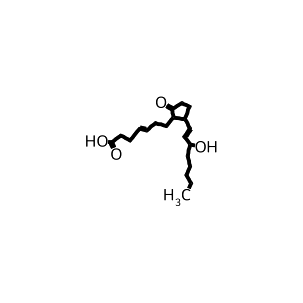 CCCCCC(O)C=CC1CCC(=O)C1CCC=CCCC(=O)O